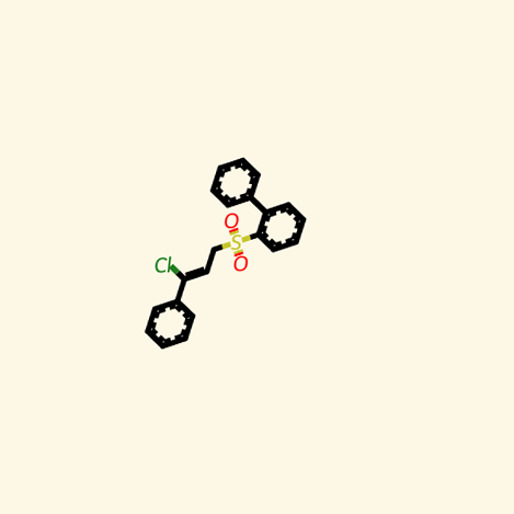 O=S(=O)(CC=C(Cl)c1ccccc1)c1ccccc1-c1ccccc1